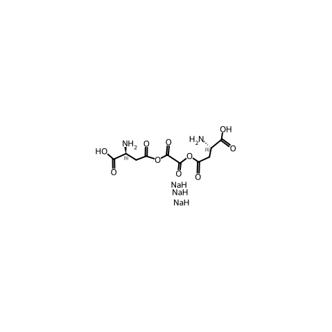 N[C@@H](CC(=O)OC(=O)C(=O)OC(=O)C[C@H](N)C(=O)O)C(=O)O.[NaH].[NaH].[NaH]